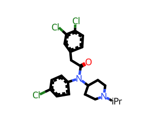 CC(C)N1CCC(N(C(=O)Cc2ccc(Cl)c(Cl)c2)c2ccc(Cl)cc2)CC1